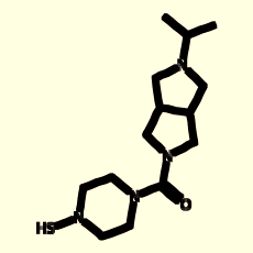 CC(C)N1CC2CN(C(=O)N3CCN(S)CC3)CC2C1